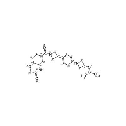 CC(OC1CN(c2ccc(C3CN(C(=O)N4CCC5OCC(=O)NC5C4)C3)cc2)C1)C(F)(F)F